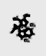 C[CH]1[CH2][Zr+2]1([C]1=C(C(C)(C)C)C(C(C)(C)C)=CC1)[CH]1C=Cc2ccccc21.[Cl-].[Cl-]